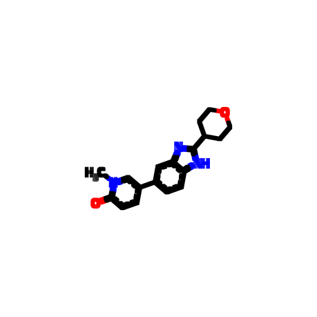 Cn1cc(-c2ccc3[nH]c(C4CCOCC4)nc3c2)ccc1=O